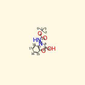 CC(C)(C)OC(=O)NN(CC(=O)O)c1ccccc1